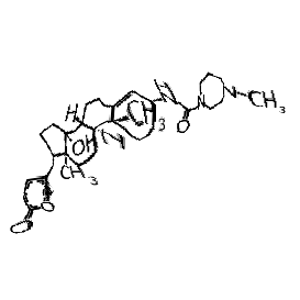 CN1CCCN(C(=O)N[C@@H]2C=C3CC[C@@H]4[C@H](CC[C@]5(C)[C@@H](c6ccc(=O)oc6)CC[C@]45O)[C@@]3(C)CC2)CC1